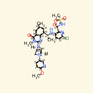 COc1ccc(N2C[C@@H]3C[C@H]2CN3c2nc3c([C@@H](C)Nc4ccc(Cl)nc4C(=O)NS(C)(=O)=O)cc(C)cc3c(=O)n2C)cn1